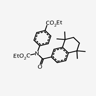 CCOC(=O)c1ccc(N(C(=O)OCC)C(=O)c2ccc3c(c2)C(C)(C)CCC3(C)C)cc1